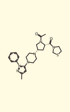 CC(=O)N1C[C@@H](N2CCN(c3cc(C)nn3-c3ccccc3)CC2)C[C@H]1C(=O)N1CCSC1